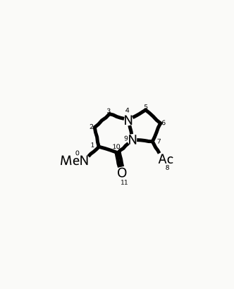 CNC1CCN2CCC(C(C)=O)N2C1=O